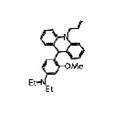 C=CCN1c2ccccc2C(c2ccc(N(CC)CC)cc2OC)c2ccccc21